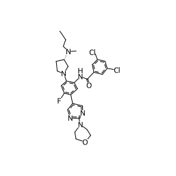 CCCN(C)[C@H]1CCN(c2cc(F)c(-c3cnc(N4CCOCC4)nc3)cc2NC(=O)c2cc(Cl)cc(Cl)c2)C1